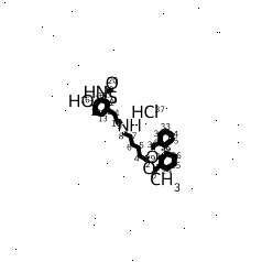 CC(OCCCCCCNCCc1ccc(O)c2[nH]c(=O)sc12)c1ccccc1OCc1ccccc1.Cl